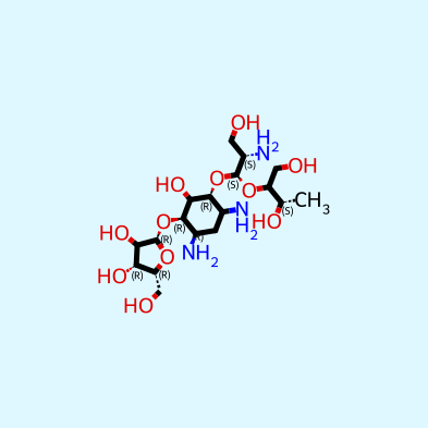 C[C@H](O)C(CO)O[C@H](O[C@@H]1C(N)C[C@@H](N)[C@@H](O[C@@H]2O[C@H](CO)[C@H](O)C2O)C1O)[C@@H](N)CO